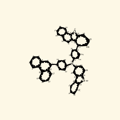 c1ccc2c(c1)cc(-c1ccc(N(c3ccc(-c4cccc5oc6c7ccccc7ccc6c45)cc3)c3ccc4sc5ccccc5c4c3)cc1)c1ccccc12